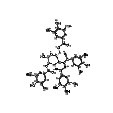 CC(C)(C)c1cc(C(=O)OC[C@H]2OC(O)[C@H](OC(=O)c3cc(C(C)(C)C)c(O)c(C(C)(C)C)c3)[C@@H](OC(=O)c3cc(C(C)(C)C)c(O)c(C(C)(C)C)c3)[C@@H]2OC(=O)c2cc(C(C)(C)C)c(O)c(C(C)(C)C)c2)cc(C(C)(C)C)c1O